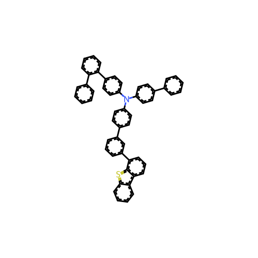 c1ccc(-c2ccc(N(c3ccc(-c4cccc(-c5cccc6c5sc5ccccc56)c4)cc3)c3ccc(-c4ccccc4-c4ccccc4)cc3)cc2)cc1